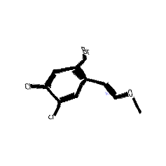 CO/C=C/c1cc(Cl)c(Cl)cc1Br